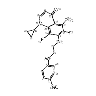 [C-]#[N+]c1ccc(NCCNc2c(F)c(N)c3c(=O)ccn(C4CC4)c3c2F)nc1